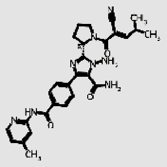 Cc1ccnc(NC(=O)c2ccc(-c3nc([C@@H]4CCCN4C(=O)C(C#N)=CC(C)C)n(N)c3C(N)=O)cc2)c1